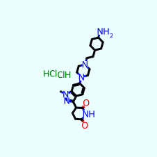 Cl.Cl.Cn1nc(C2CCC(=O)NC2=O)c2ccc(N3CCN(CCC4CCC(N)CC4)CC3)cc21